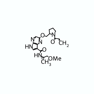 C=CC(=O)N1CCCC1COc1cnc2[nH]cc(C(=O)N[C@@H](C)COC)c2n1